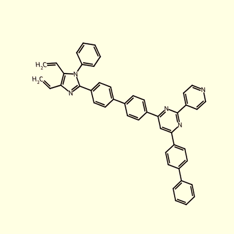 C=Cc1nc(-c2ccc(-c3ccc(-c4cc(-c5ccc(-c6ccccc6)cc5)nc(-c5ccncc5)n4)cc3)cc2)n(-c2ccccc2)c1C=C